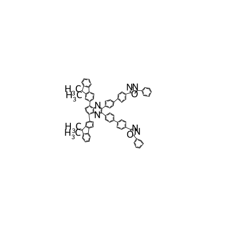 CC1(C)c2ccccc2-c2ccc(-c3ccc(-c4ccc5c(c4)C(C)(C)c4ccccc4-5)c4nc(-c5ccc(-c6ccc(-c7nnc(-c8ccccc8)o7)cc6)cc5)c(-c5ccc(-c6ccc(-c7nnc(-c8ccccc8)o7)cc6)cc5)nc34)cc21